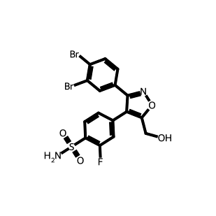 NS(=O)(=O)c1ccc(-c2c(-c3ccc(Br)c(Br)c3)noc2CO)cc1F